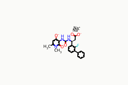 Cc1cc([O-])c(NC(=O)N[C@@H](CC(=O)[O-])c2cccc(-c3ccccc3)c2F)c(=O)n1C.[Na+].[Na+]